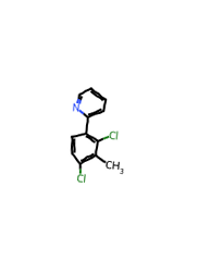 Cc1c(Cl)ccc(-c2ccccn2)c1Cl